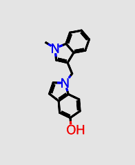 Cn1cc(Cn2ccc3cc(O)ccc32)c2ccccc21